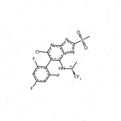 C[C@H](Nc1c(-c2c(F)cc(F)cc2F)c(Cl)nc2nc(S(C)(=O)=O)nn12)C(F)(F)F